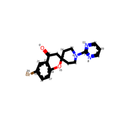 O=C1CC2(CCN(c3ncccn3)CC2)Oc2ccc(Br)cc21